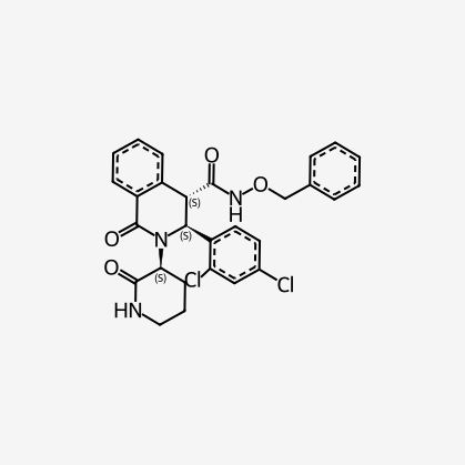 O=C(NOCc1ccccc1)[C@H]1c2ccccc2C(=O)N([C@H]2CCCNC2=O)[C@@H]1c1ccc(Cl)cc1Cl